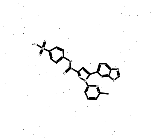 CCCS(=O)(=O)c1ccc(NC(=O)c2cc(-c3ccc4ncsc4c3)n(-c3cccc(C)n3)n2)cc1